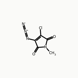 CN1C(=O)C(Cl)=C(N=[N+]=[N-])C1=O